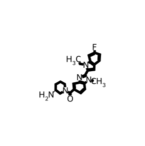 CCn1c(-c2nc3cc(C(=O)N4CCC[C@@H](N)C4)ccc3n2C)cc2ccc(F)cc21